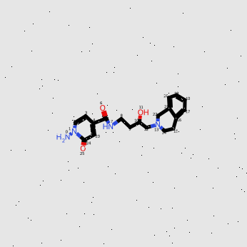 Nn1ccc(C(=O)NCCC(O)CN2CCc3ccccc3C2)cc1=O